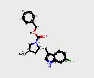 CC(=O)O[C@@H]1C[C@@H](Cc2c[nH]c3cc(F)ccc23)N(C(=O)OCc2ccccc2)C1